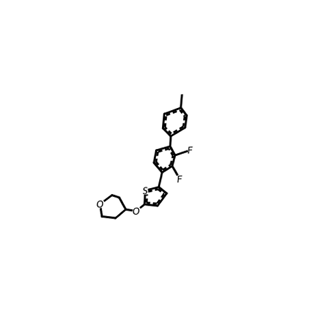 Cc1ccc(-c2ccc(-c3ccc(OC4CCOCC4)s3)c(F)c2F)cc1